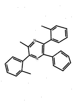 Cc1ccccc1-c1nc(-c2ccccc2)c(-c2ccccc2C)nc1C